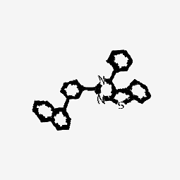 c1ccc(-c2nc(-c3cccc(-c4cccc5ccccc45)c3)nc3sc4ccccc4c23)cc1